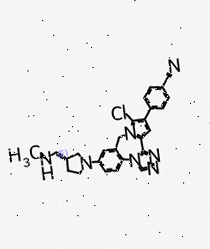 CN/C=C1\CCN(c2ccc3c(c2)Cn2c(cc(-c4ccc(C#N)cc4)c2Cl)-c2nncn2-3)C1